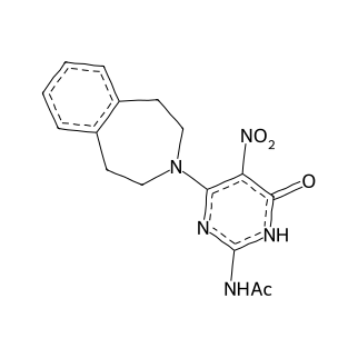 CC(=O)Nc1nc(N2CCc3ccccc3CC2)c([N+](=O)[O-])c(=O)[nH]1